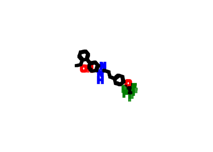 CC(O)c1ccccc1-c1ccc2[nH]c(CCc3ccc(OC(F)(F)C(F)(F)F)cc3)nc2c1